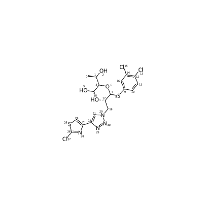 C[C@@H](O)C(CO)OC(Sc1ccc(Cl)c(Cl)c1)[C@@H](O)Cn1cc(-c2csc(Cl)n2)nn1